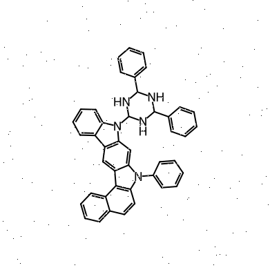 c1ccc(C2NC(c3ccccc3)NC(n3c4ccccc4c4cc5c6c7ccccc7ccc6n(-c6ccccc6)c5cc43)N2)cc1